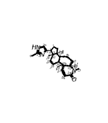 Cc1nc([C@H]2CC[C@H]3C4CC[C@H]5N(C)C(=O)C=C[C@]5(C)C4CC[C@]23C)c[nH]1